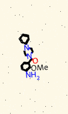 COc1c(N)cccc1C(=O)N1CCN(c2ccccc2)CC1